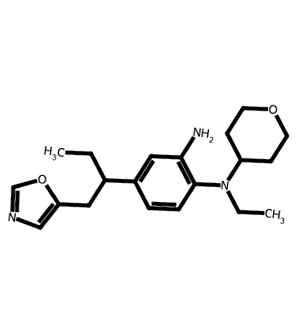 CCC(Cc1cnco1)c1ccc(N(CC)C2CCOCC2)c(N)c1